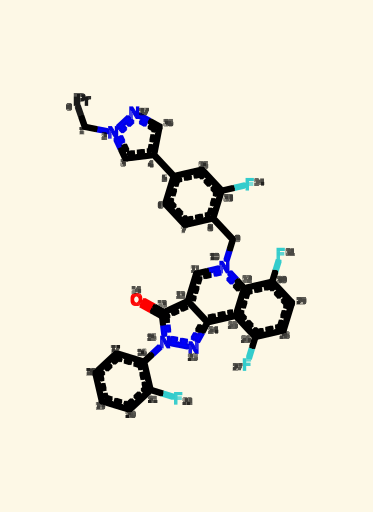 CC(C)Cn1cc(-c2ccc(Cn3cc4c(=O)n(-c5ccccc5F)nc-4c4c(F)ccc(F)c43)c(F)c2)cn1